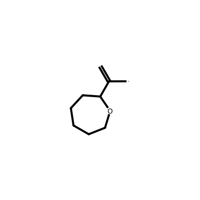 [CH2]C(=C)C1CCCCCO1